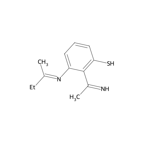 CC/C(C)=N/c1cccc(S)c1C(C)=N